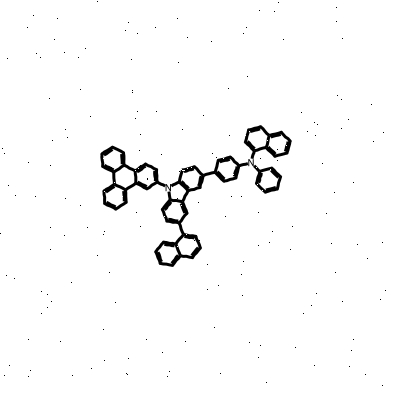 c1ccc(N(c2ccc(-c3ccc4c(c3)c3cc(-c5cccc6ccccc56)ccc3n4-c3ccc4c5ccccc5c5ccccc5c4c3)cc2)c2cccc3ccccc23)cc1